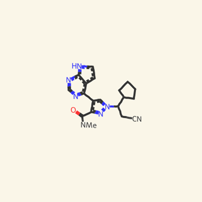 CNC(=O)c1nn(C(CC#N)C2CCCC2)cc1-c1ncnc2[nH]ccc12